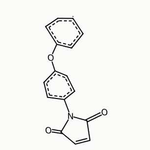 O=C1C=CC(=O)N1c1ccc(Oc2cc[c]cc2)cc1